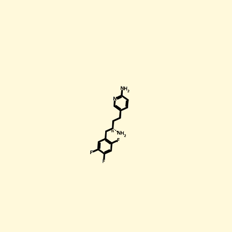 Nc1ccc(CC[C@H](N)Cc2cc(F)c(F)cc2F)cn1